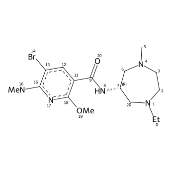 CCN1CCN(C)C[C@@H](NC(=O)c2cc(Br)c(NC)nc2OC)C1